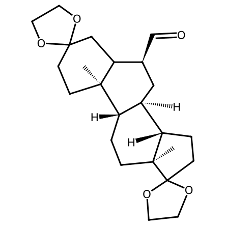 C[C@]12CCC3(CC1[C@@H](C=O)C[C@@H]1[C@@H]2CC[C@@]2(C)[C@H]1CCC21OCCO1)OCCO3